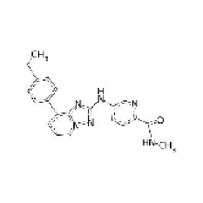 CCc1ccc(-c2cccn3nc(Nc4ccc(C(=O)NC)nc4)nc23)cc1